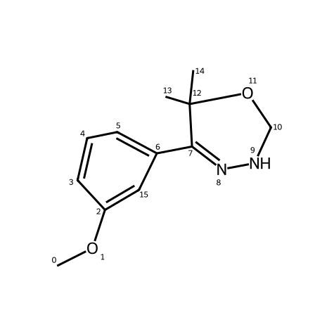 COc1cccc(C2=NNCOC2(C)C)c1